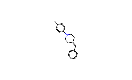 Cc1ccc(N2CCC(=Cc3ccccc3)CC2)cc1